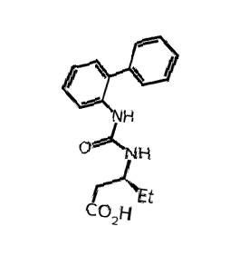 CC[C@@H](CC(=O)O)NC(=O)Nc1ccccc1-c1ccccc1